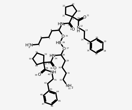 NCCCCC(NC(=O)C1(C(=O)NCCc2ccccc2)CCCC1)OBOC(CCCCN)NC(=O)C1(C(=O)NCCc2ccccc2)CCCC1